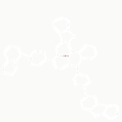 c1ccc(N(c2ccc(-c3ccc(-c4cccc5ccccc45)cc3)cc2)c2ccc(-c3ccc4oc5ccccc5c4c3)cc2)c(-c2cccc3c2oc2ccccc23)c1